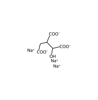 O=C([O-])CC(C(=O)[O-])C(O)C(=O)[O-].[Na+].[Na+].[Na+]